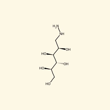 NNC[C@@H](O)[C@H](O)[C@H](O)[C@H](O)CO